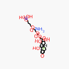 C[C@]12C=CC(=O)C=C1CC[C@H]1[C@@H]3C[C@@H](O)[C@](O)(C(=O)COC(=O)OCC(N)C(=O)OCCCCON(O)O)[C@@]3(C)C[C@H](O)[C@@]12F